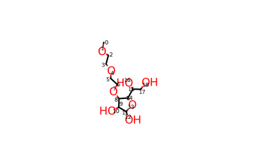 COCCOCCOC1C(O)C(O)OC1C(O)CO